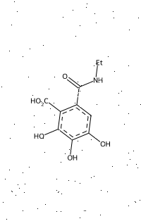 CCNC(=O)c1cc(O)c(O)c(O)c1C(=O)O